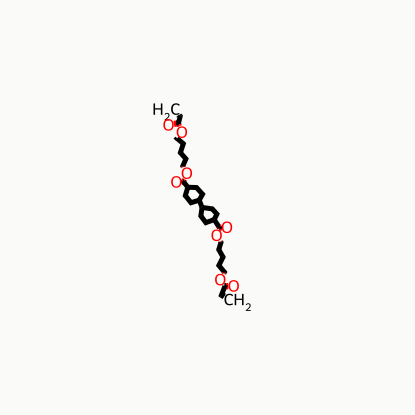 C=CC(=O)OCCCCCOC(=O)C1CCC(C2CCC(C(=O)OCCCCCOC(=O)C=C)CC2)CC1